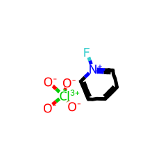 F[n+]1ccccc1.[O-][Cl+3]([O-])([O-])[O-]